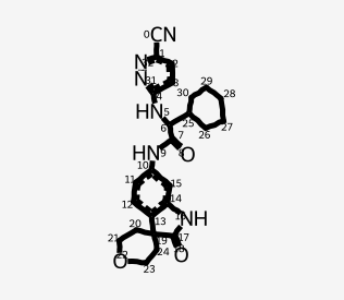 N#Cc1ccc(NC(C(=O)Nc2ccc3c(c2)NC(=O)C32CCOCC2)C2CCCCC2)nn1